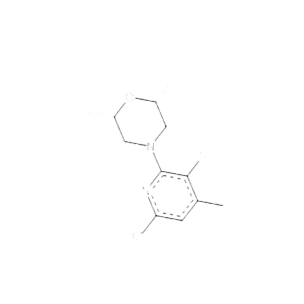 Cc1cc(Cl)nc(N2C[C@@H](C)O[C@@H](C)C2)c1F